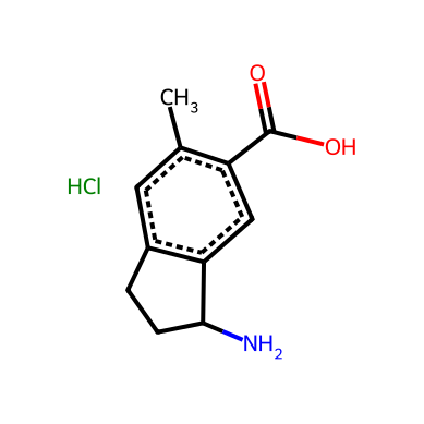 Cc1cc2c(cc1C(=O)O)C(N)CC2.Cl